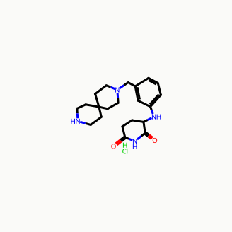 Cl.O=C1CCC(Nc2cccc(CN3CCC4(CCNCC4)CC3)c2)C(=O)N1